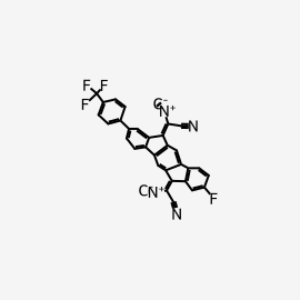 [C-]#[N+]/C(C#N)=C1/c2cc(F)ccc2-c2cc3c(cc21)-c1ccc(-c2ccc(C(F)(F)F)cc2)cc1/C3=C(/C#N)[N+]#[C-]